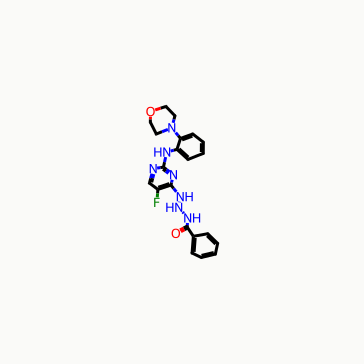 O=C(NNNc1nc(Nc2ccccc2N2CCOCC2)ncc1F)c1ccccc1